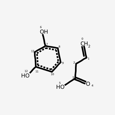 C=CCC(=O)O.Oc1cccc(O)c1